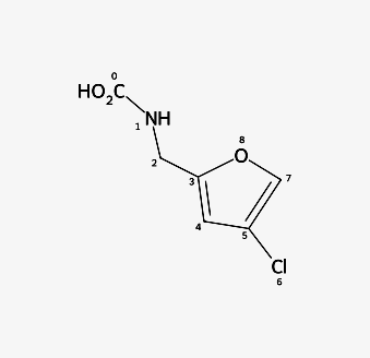 O=C(O)NCc1cc(Cl)co1